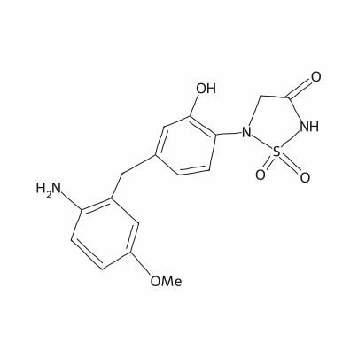 COc1ccc(N)c(Cc2ccc(N3CC(=O)NS3(=O)=O)c(O)c2)c1